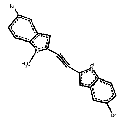 Cn1c(C#Cc2cc3cc(Br)ccc3[nH]2)cc2cc(Br)ccc21